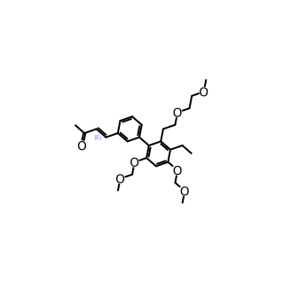 CCc1c(OCOC)cc(OCOC)c(-c2cccc(/C=C/C(C)=O)c2)c1CCOCCOC